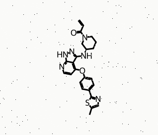 C=CC(=O)N1CCC[C@@H](Nc2n[nH]c3nccc(Oc4ccc(-c5ncc(C)s5)cc4)c23)C1